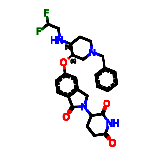 O=C1CCC(N2Cc3cc(O[C@H]4CN(Cc5ccccc5)CC[C@@H]4NCC(F)F)ccc3C2=O)C(=O)N1